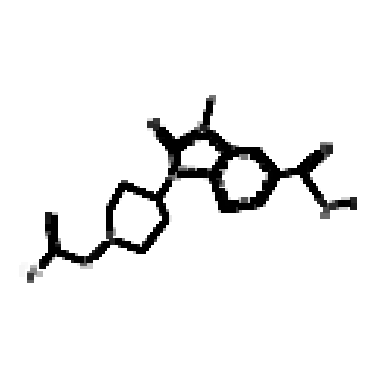 CCNC(=O)c1ccc2c(c1)n(C)c(=O)n2C1CCN(OC(=O)C(F)(F)F)CC1